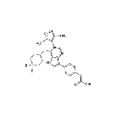 Cc1noc(C)c1-c1cnc2c(-c3ccc(CC(=O)O)cc3)c[nH]c2c1CC1CCC(F)(F)CC1